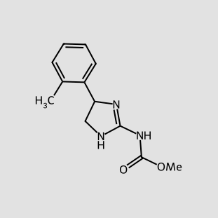 COC(=O)NC1=NC(c2ccccc2C)CN1